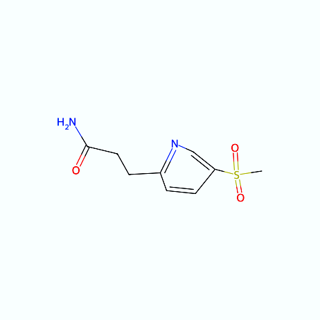 CS(=O)(=O)c1ccc(CCC(N)=O)nc1